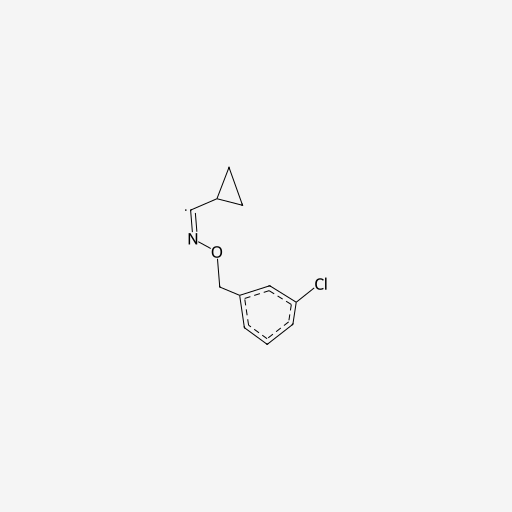 Clc1cccc(CO/N=[C]\C2CC2)c1